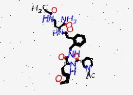 C=CC(=O)NCC[C@H](NC(=O)Cc1ccccc1CNC(=O)[C@H](Cc1ccco1)NC(=O)[C@@H]1CCCN(C(C)=O)C1)C(N)=O